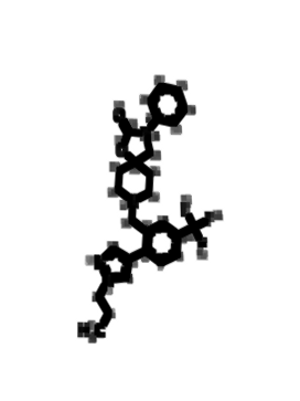 CCCn1cc(-c2ccc(C(F)(F)F)cc2CN2CCC3(CC2)CN(c2ccccc2)C(=O)O3)cn1